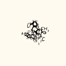 Cn1c(=O)c2c(n(CC(F)(F)F)c1=O)N(OC(=O)C(F)(F)F)C(N1CCC3CNCC31)N2Cc1ccccc1Cl